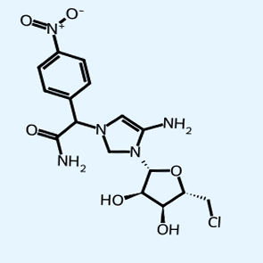 NC(=O)C(c1ccc([N+](=O)[O-])cc1)N1C=C(N)N([C@@H]2O[C@H](CCl)[C@@H](O)[C@H]2O)C1